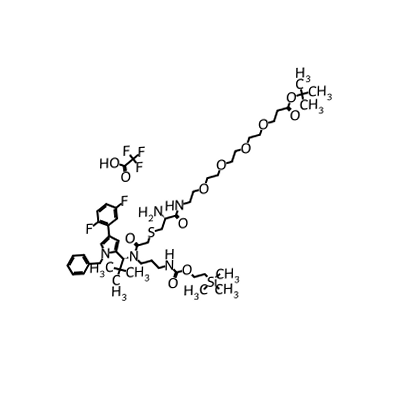 CC(C)(C)OC(=O)CCOCCOCCOCCOCCNC(=O)[C@@H](N)CSCC(=O)N(CCCNC(=O)OCC[Si](C)(C)C)[C@@H](c1cc(-c2cc(F)ccc2F)cn1Cc1ccccc1)C(C)(C)C.O=C(O)C(F)(F)F